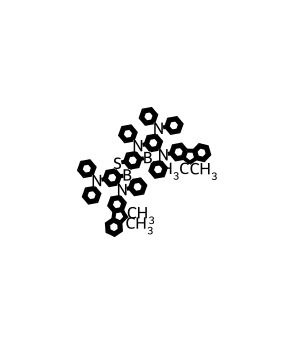 CC1(C)c2ccccc2-c2ccc(N3c4ccccc4B4c5cc6c(cc5Sc5cc(N(c7ccccc7)c7ccccc7)cc3c54)N(c3ccccc3)c3cc(N(c4ccccc4)c4ccccc4)cc4c3B6c3ccccc3N4c3ccc4c(c3)C(C)(C)c3ccccc3-4)cc21